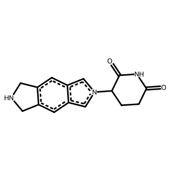 O=C1CCC(n2cc3cc4c(cc3c2)CNC4)C(=O)N1